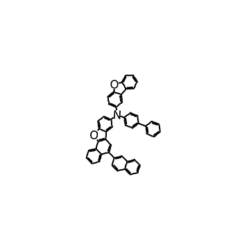 c1ccc(-c2ccc(N(c3ccc4oc5ccccc5c4c3)c3ccc4oc5c6ccccc6c(-c6ccc7ccccc7c6)cc5c4c3)cc2)cc1